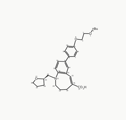 CCCCOCCOc1ccc(-c2ccc3c(c2)/C=C(/C(=O)O)CCCN3C[C@H]2CCCO2)cc1